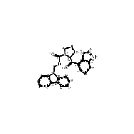 O=C(OCC1c2ccccc2-c2ccccc21)N1CCC[C@H]1C(=S)c1cccc2[nH]nnc12